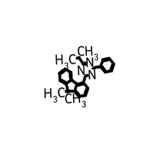 CC(C)c1nc(-c2ccccc2)nc(-c2cccc3c2-c2ccccc2C3(C)C)n1